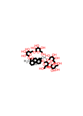 C=C1C[C@@]23CCC4[C@](C)(C(=O)OC5OC(COC6OC(CO)C(O)C(O)C6O)C(O)C(O)C5O)CCC[C@@]4(C)[C@@H]2CCC1(OC1OC(CO)C(O)C(OC2OC(CO)C(O)C(O)C2O)C1OC1OC(CO)C(O)C(O)C1O)C3